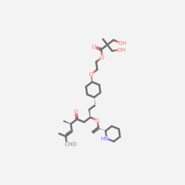 C=C(O[C@H](CC[C@H]1CC[C@H](OCCOC(=O)C(C)(CO)CO)CC1)CC(=O)[C@H](C)/C=C(\C)C=O)[C@@H]1CCCCN1